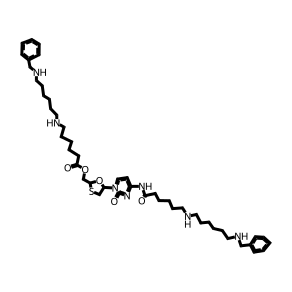 O=C(CCCCCNCCCCCCNCc1ccccc1)Nc1ccn(C2CSC(COC(=O)CCCCCNCCCCCCNCc3ccccc3)O2)c(=O)n1